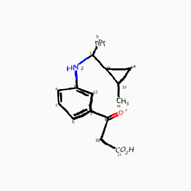 CCCC(Nc1cccc(C(=O)CC(=O)O)c1)C1CC1C